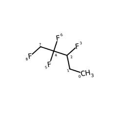 CCC(F)C(F)(F)CF